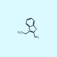 CC[n+]1c(N)sc2ccccc21